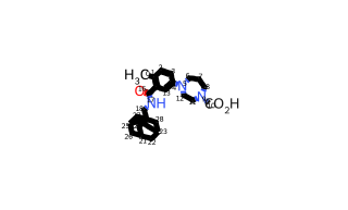 Cc1ccc(N2CCCN(C(=O)O)CC2)cc1C(=O)NCC12CC3CC(CC(C3)C1)C2